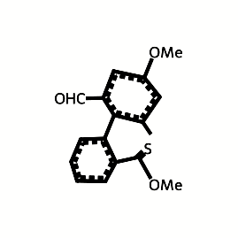 COC(=S)c1ccccc1-c1c(C)cc(OC)cc1C=O